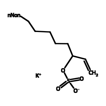 C=CC(CCCCCCCCCCCCCC)OS(=O)(=O)[O-].[K+]